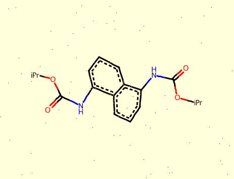 CC(C)OC(=O)Nc1cccc2c(NC(=O)OC(C)C)cccc12